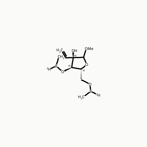 [2H]B(C)OC[C@H]1OC(OC)[C@@](O)(C=C)[C@@H]1OB([2H])C